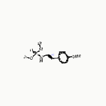 CCOP(=O)(N/C=C/c1ccc(OC)cc1)OCC